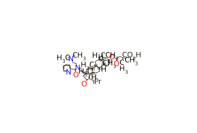 CC(C)C1=C2[C@H]3CC[C@@H]4[C@@]5(C)CC[C@H](OC(=O)CC(C)(C)C(=O)O)C(C)(C)[C@@H]5CC[C@@]4(C)[C@]3(C)CC[C@@]2(CCN(CCN(C)C)C(=O)c2ccccn2)CC1=O